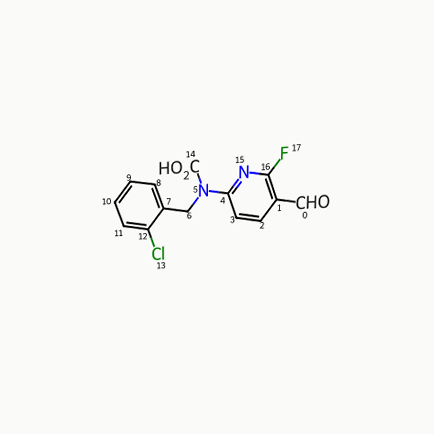 O=Cc1ccc(N(Cc2ccccc2Cl)C(=O)O)nc1F